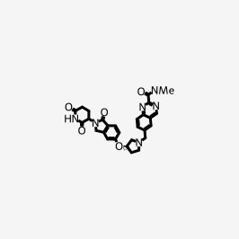 CNC(=O)c1ncc2cc(CN3CC[C@H](Oc4ccc5c(c4)CN(C4CCC(=O)NC4=O)C5=O)C3)ccc2n1